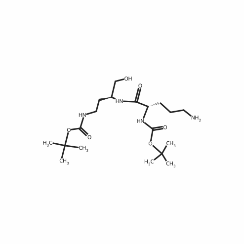 CC(C)(C)OC(=O)NCC[C@@H](CO)NC(=O)[C@H](CCCN)NC(=O)OC(C)(C)C